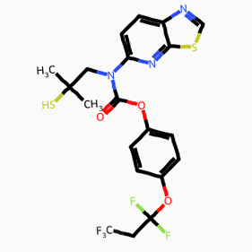 CC(C)(S)CN(C(=O)Oc1ccc(OC(F)(F)CC(F)(F)F)cc1)c1ccc2ncsc2n1